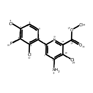 Nc1cc(-c2ccc(Cl)c(F)c2Cl)nc(C(=O)OCl)c1Cl